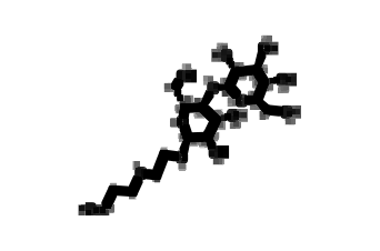 CCCCCCCCCCCCOCCO[C@H]1O[C@H](CO)[C@@H](O[C@H]2O[C@H](CO)[C@@H](O)[C@H](O)[C@H]2O)[C@H](O)[C@H]1O